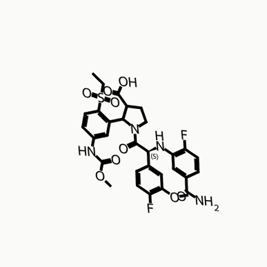 CCS(=O)(=O)c1ccc(NC(=O)OC)cc1C1C(C(=O)O)CCN1C(=O)[C@@H](Nc1cc(C(N)=O)ccc1F)c1ccc(F)c(OC)c1